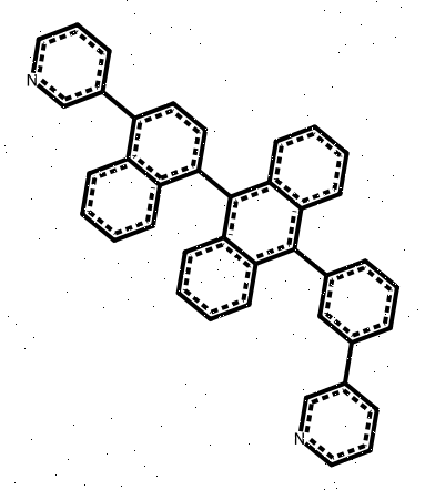 c1cncc(-c2cccc(-c3c4ccccc4c(-c4ccc(-c5cccnc5)c5ccccc45)c4ccccc34)c2)c1